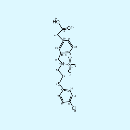 CS(=O)(=O)N(CCSc1ccc(Cl)cc1)Cc1cccc(CC(=O)O)c1